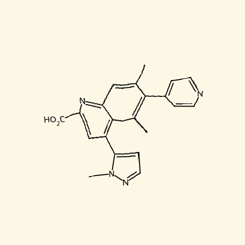 Cc1cc2nc(C(=O)O)cc(-c3ccnn3C)c2c(C)c1-c1ccncc1